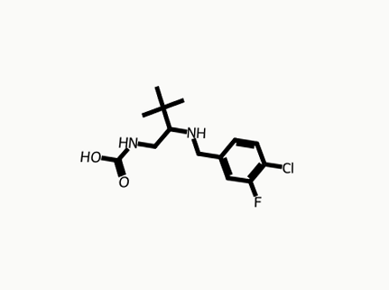 CC(C)(C)C(CNC(=O)O)NCc1ccc(Cl)c(F)c1